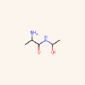 CC(O)NC(=O)C(C)N